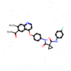 CNC(=O)c1cc2c(Oc3ccc(NC(=O)C4(C(=O)Nc5ccc(F)cc5)CC4)cc3)ccnc2cc1OC